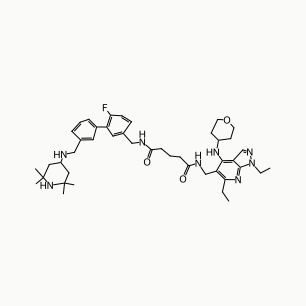 CCc1nc2c(cnn2CC)c(NC2CCOCC2)c1CNC(=O)CCCC(=O)NCc1ccc(F)c(-c2cccc(CNC3CC(C)(C)NC(C)(C)C3)c2)c1